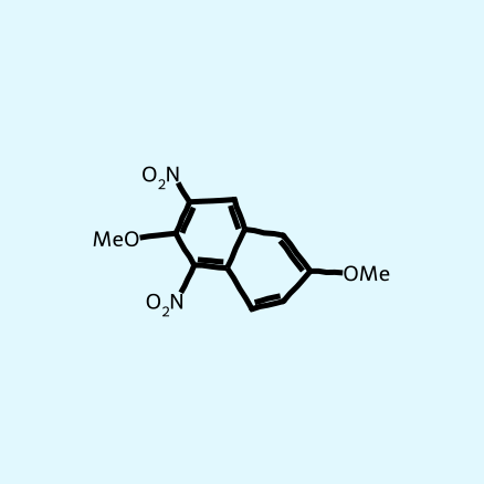 COc1ccc2c([N+](=O)[O-])c(OC)c([N+](=O)[O-])cc2c1